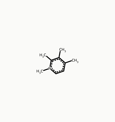 Cc1cc[n+](C)c(C)c1C